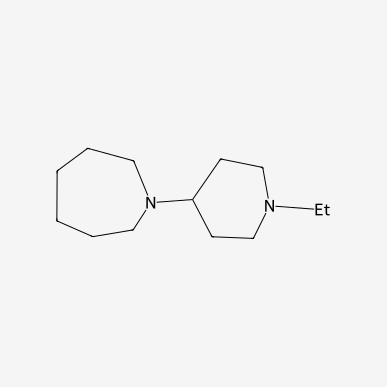 CCN1CCC(N2CCCCCC2)CC1